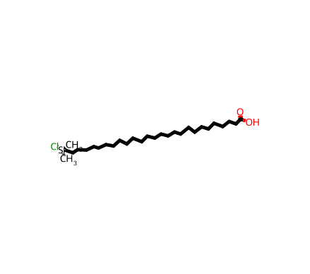 C[Si](C)(Cl)CCCCCCCCCCCCCCCCCCCCCCCCCC(=O)O